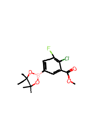 COC(=O)c1cc(B2OC(C)(C)C(C)(C)O2)cc(F)c1Cl